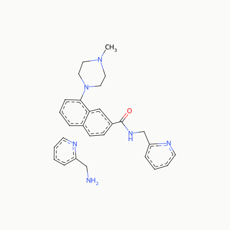 CN1CCN(c2cccc3ccc(C(=O)NCc4ccccn4)cc23)CC1.NCc1ccccn1